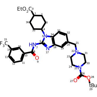 CCOC(=O)C1CCC(n2c(NC(=O)c3cccc(C(F)(F)F)c3)nc3cc(CN4CCN(C(=O)OC(C)(C)C)CC4)ccc32)CC1